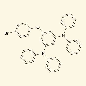 Brc1ccc(Oc2cc(N(c3ccccc3)c3ccccc3)cc(N(c3ccccc3)c3ccccc3)c2)cc1